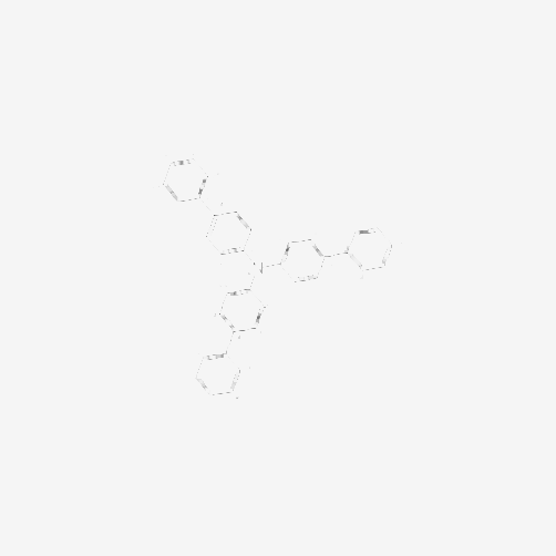 c1ccc(-c2ccc(N(c3ccc(-c4ccccc4)cc3)c3ccc(-c4ccccc4)cc3)cc2)cc1